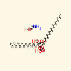 CCCCCCCCCCCCCCCCCCC(CCCCCCCCCCCCCCCC)(OP(=O)(O)O)C(O)CO.NCCO